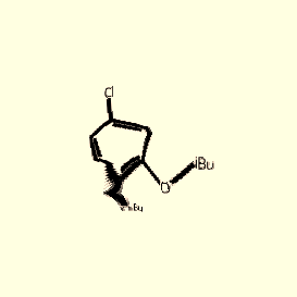 CCCCc1ccc(Cl)cc1OC(C)CC